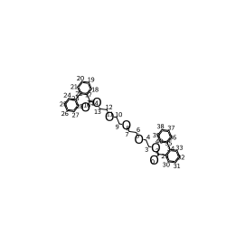 O=C(OCCOCCOCCOCCOC(=O)c1ccccc1-c1ccccc1)c1ccccc1-c1ccccc1